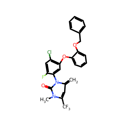 C=C1C=C(C(F)(F)F)N(C)C(=O)N1c1cc(Oc2ccccc2OCc2ccccc2)c(Cl)cc1F